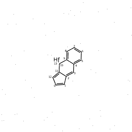 C1=CC2=Cc3ccccc3CC2=C1.[Hf]